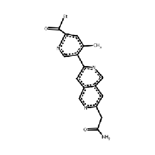 CCC(=O)c1cc(C)c(-c2cc3cnc(CC(N)=O)cc3cn2)cn1